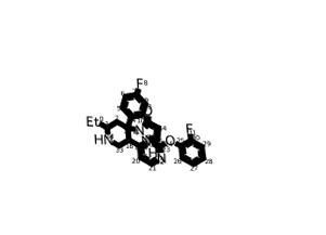 CCC1CC(c2ccc(F)cc2)(n2c(=O)ccn2C)C(c2ccnc(Oc3ccccc3F)n2)CN1